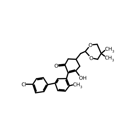 Cc1ccc(-c2ccc(Cl)cc2)cc1C1=C(O)CC(CC2OCC(C)(C)CO2)CC1=O